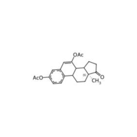 CC(=O)OC1=Cc2cc(OC(C)=O)ccc2C2CC[C@]3(C)C(=O)CCC3C12